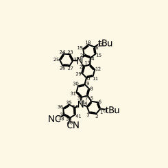 CC(C)(C)c1ccc2c(c1)c1cc(-c3ccc4c5cc(C(C)(C)C)ccc5n(-c5ccccc5)c4c3)ccc1n2-c1ccc(C#N)c(C#N)c1